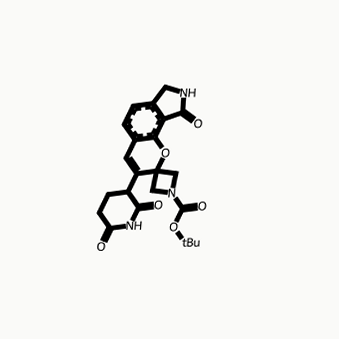 CC(C)(C)OC(=O)N1CC2(C1)Oc1c(ccc3c1C(=O)NC3)C=C2C1CCC(=O)NC1=O